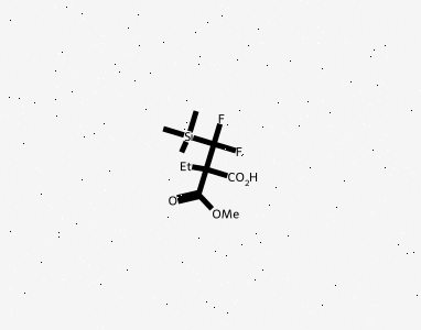 CCC(C(=O)O)(C(=O)OC)C(F)(F)[Si](C)(C)C